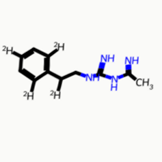 [2H]c1cc([2H])c(C([2H])CNC(=N)NC(C)=N)c([2H])c1